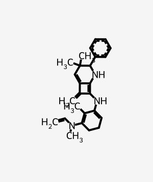 C=CN(C)C1=C(C)C(NC2=C3NC(c4ccccc4)C(C)(C)C=C3C2=C)=CCC1